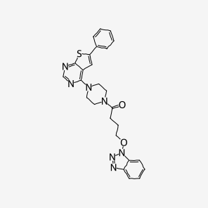 O=C(CCCOn1nnc2ccccc21)N1CCN(c2ncnc3sc(-c4ccccc4)cc23)CC1